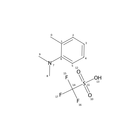 Cc1ccccc1N(C)C.O=S(=O)(O)C(F)(F)F